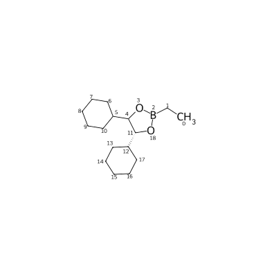 CCB1OC(C2CCCCC2)[C@@H](C2CCCCC2)O1